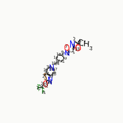 Cc1cnc(CC(=O)/N=C/C2CCC(CCN3CCc4nc(OCC(F)F)sc4CC3)CC2)o1